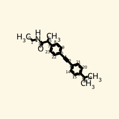 CCNC(=O)C(C)c1ccc(C#Cc2ccc(C(C)C)cc2)cc1